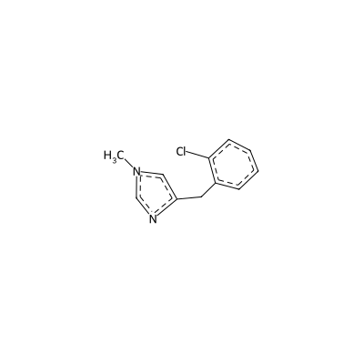 Cn1cnc(Cc2ccccc2Cl)c1